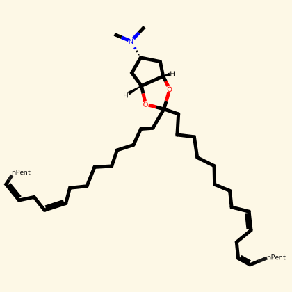 CCCCC/C=C\C/C=C\CCCCCCCCC1(CCCCCCCC/C=C\C/C=C\CCCCC)O[C@H]2C[C@@H](N(C)C)C[C@H]2O1